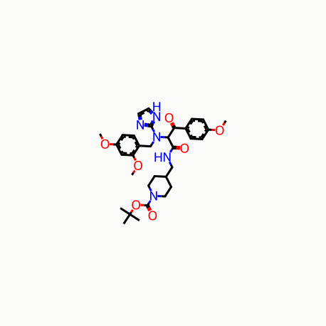 COc1ccc(C(=O)C(C(=O)NCC2CCN(C(=O)OC(C)(C)C)CC2)N(Cc2ccc(OC)cc2OC)c2ncc[nH]2)cc1